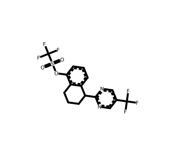 O=S(=O)(Oc1cccc2c1CCCC2c1ncc(C(F)(F)F)cn1)C(F)(F)F